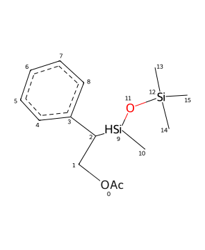 CC(=O)OCC(c1ccccc1)[SiH](C)O[Si](C)(C)C